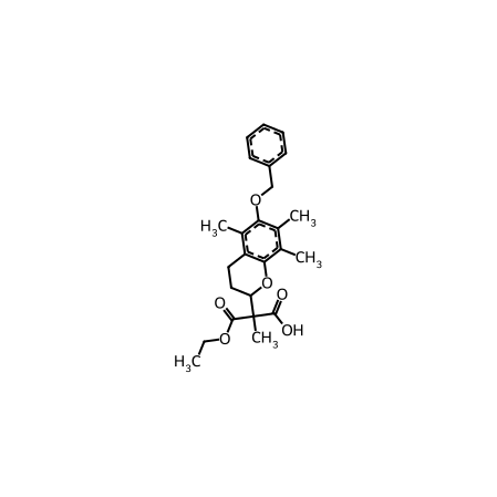 CCOC(=O)C(C)(C(=O)O)C1CCc2c(C)c(OCc3ccccc3)c(C)c(C)c2O1